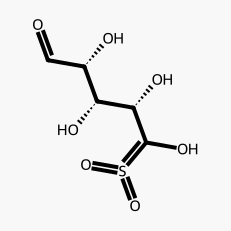 O=C[C@H](O)[C@@H](O)[C@H](O)C(O)=S(=O)=O